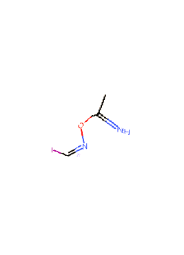 CC(=N)O/N=C\I